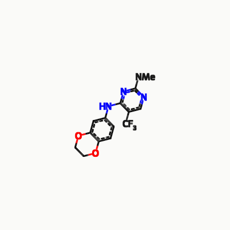 CNc1ncc(C(F)(F)F)c(Nc2ccc3c(c2)OCCO3)n1